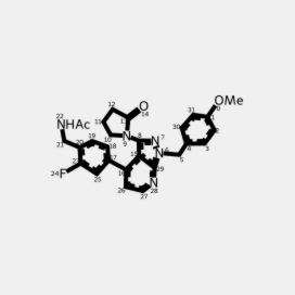 COc1ccc(Cn2nc(N3CCCC3=O)c3c(-c4ccc(CNC(C)=O)c(F)c4)ccnc32)cc1